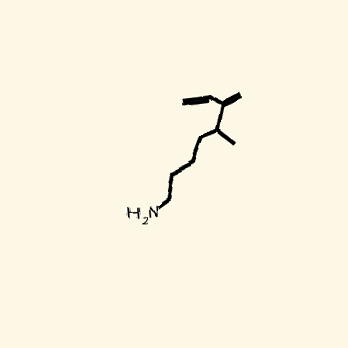 C=CC(=C)C(C)CCCCN